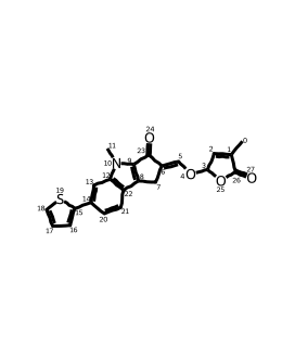 CC1=CC(OC=C2Cc3c(n(C)c4cc(-c5cccs5)ccc34)C2=O)OC1=O